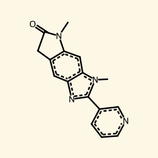 CN1C(=O)Cc2cc3nc(-c4cccnc4)n(C)c3cc21